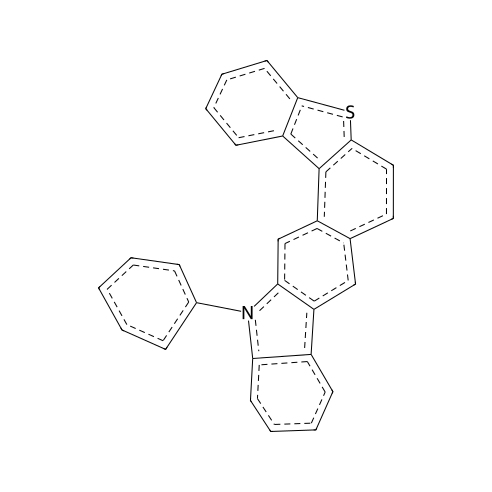 c1ccc(-n2c3ccccc3c3cc4ccc5sc6ccccc6c5c4cc32)cc1